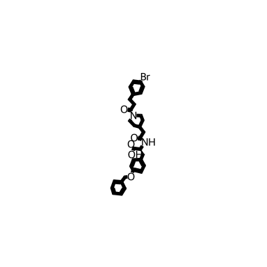 O=C(CC1CCN(C(=O)CCc2ccc(Br)cc2)CC1)N[C@@H](Cc1ccc(OCc2ccccc2)cc1)C(=O)O